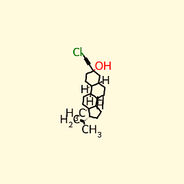 C=C(C)[C@H]1CC[C@H]2[C@@H]3CC[C@H]4C[C@@](O)(C#CCl)CC[C@@H]4[C@H]3CC[C@]12C